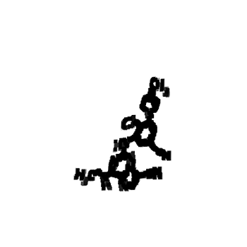 CCNc1nc(Nc2cc(C#N)cc(N3CC4CC3CN4C)c2Cl)nn2c(C#N)cnc12